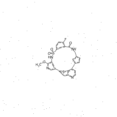 COc1ncc2cc1NS(=O)(=O)c1ccc(F)c(c1)C(=O)NCc1ccc(s1)-c1ccnc3cc-2sc13